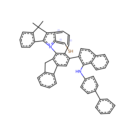 CC1(C)c2ccccc2-c2c1c1/c(=C/S)n2-c2c(c(-c3ccc4ccccc4c3Nc3ccc(-c4ccccc4)cc3)cc3c2Cc2ccccc2-3)/C=C\C=1